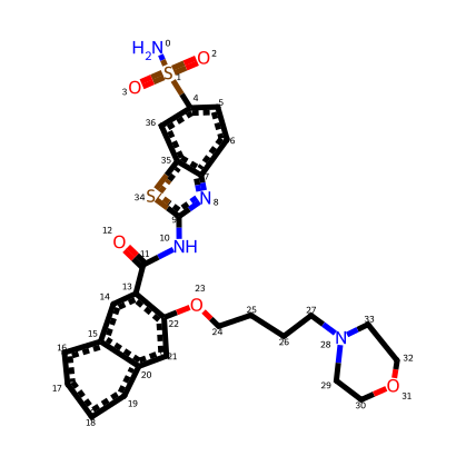 NS(=O)(=O)c1ccc2nc(NC(=O)c3cc4ccccc4cc3OCCCCN3CCOCC3)sc2c1